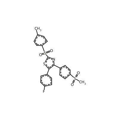 Cc1ccc(S(=O)(=O)c2nc(-c3ccc(S(C)(=O)=O)cc3)c(-c3ccc(F)cc3)s2)cc1